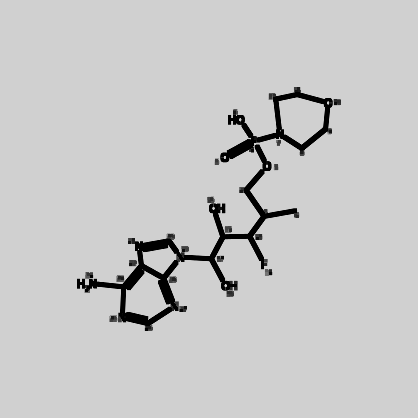 CC(COP(=O)(O)N1CCOCC1)C(F)C(O)C(O)n1cnc2c(N)ncnc21